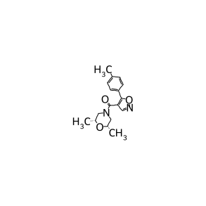 Cc1ccc(-c2oncc2C(=O)N2C[C@@H](C)O[C@@H](C)C2)cc1